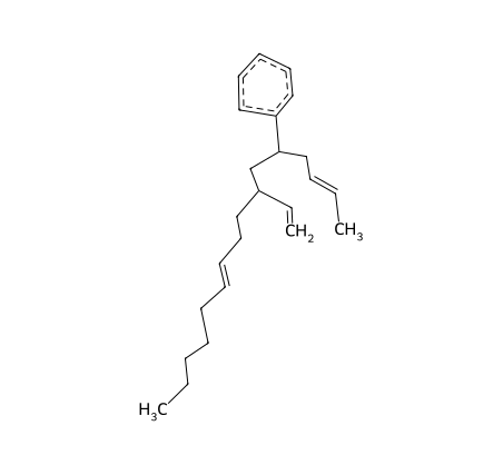 C=CC(CC/C=C/CCCCC)CC(C/C=C/C)c1ccccc1